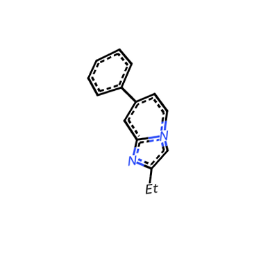 CCc1cn2ccc(-c3ccccc3)cc2n1